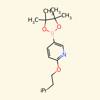 CC(C)CCOc1ccc(B2OC(C)(C)C(C)(C)O2)cn1